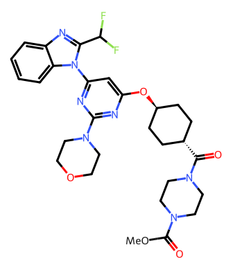 COC(=O)N1CCN(C(=O)[C@H]2CC[C@H](Oc3cc(-n4c(C(F)F)nc5ccccc54)nc(N4CCOCC4)n3)CC2)CC1